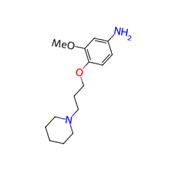 COc1cc(N)ccc1OCCCN1CCCCC1